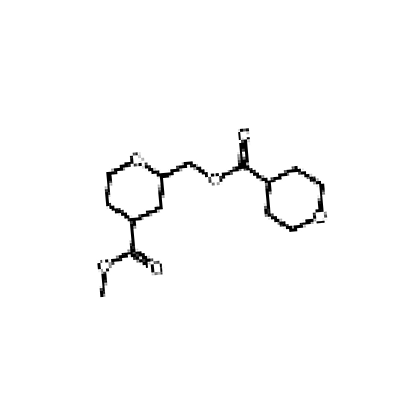 COC(=O)C1CCOC(COC(=O)C2CCOCC2)C1